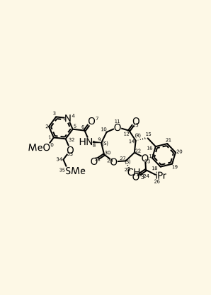 COc1ccnc(C(=O)N[C@H]2COC(=O)[C@H](Cc3ccccc3)C(OC(=O)C(C)C)[C@H](C)OC2=O)c1OCSC